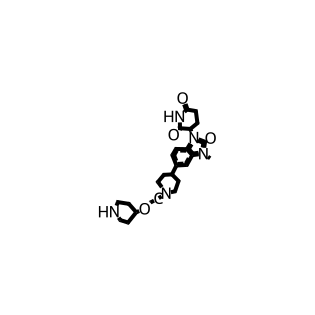 Cn1c(=O)n(C2CCC(=O)NC2=O)c2ccc(C3CCN(CCOC4CCNCC4)CC3)cc21